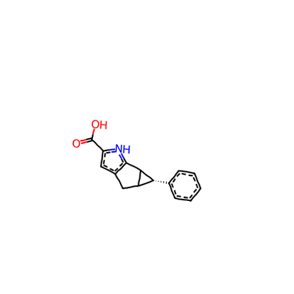 O=C(O)c1cc2c([nH]1)C1C(C2)[C@H]1c1ccccc1